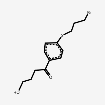 O=C(CCCO)c1ccc(SCCCBr)cc1